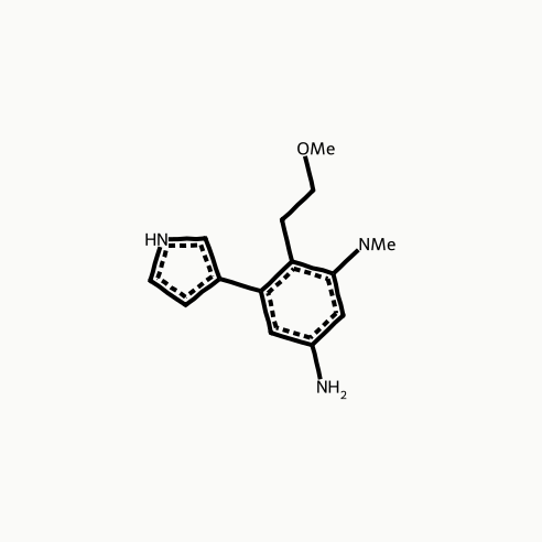 CNc1cc(N)cc(-c2cc[nH]c2)c1CCOC